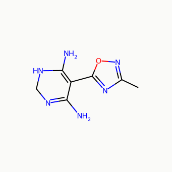 Cc1noc(C2=C(N)NCN=C2N)n1